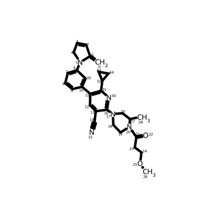 C=C1C=CCN1c1cccc(-c2cc(C#N)c(N3CCN(C(=O)CCOC)C(C)C3)nc2C2CC2)c1